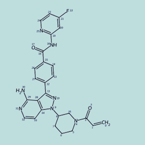 C=CC(=O)N1CCCC(n2nc(-c3ccc(C(=O)Nc4cc(F)ccn4)cc3)c3c(N)nccc32)C1